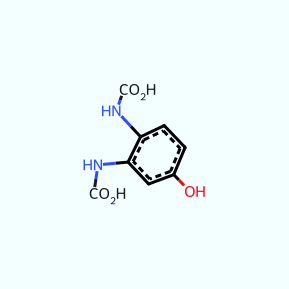 O=C(O)Nc1ccc(O)cc1NC(=O)O